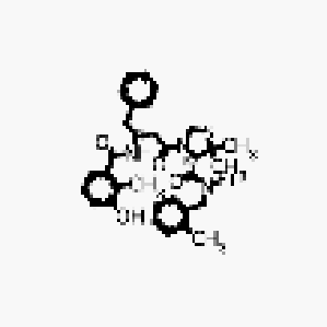 CCN(Cc1ccccc1C)C(=O)[C@H]1N(C(=O)C[C@H](Cc2ccccc2)NC(=O)c2cccc(O)c2C)CSC1(C)C